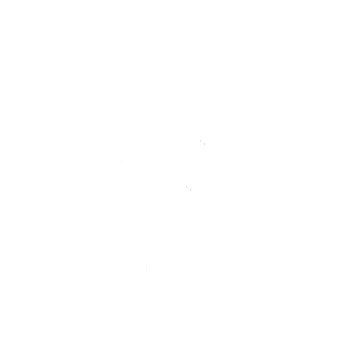 CCOC(=O)CCC(=O)N(Cc1nc2c(F)c(F)cc(F)c2s1)c1ccc(Br)cc1